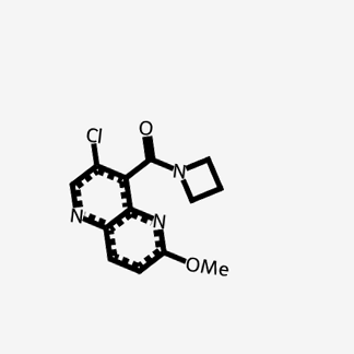 COc1ccc2ncc(Cl)c(C(=O)N3CCC3)c2n1